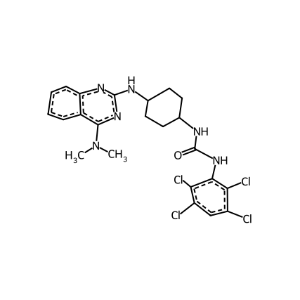 CN(C)c1nc(NC2CCC(NC(=O)Nc3c(Cl)c(Cl)cc(Cl)c3Cl)CC2)nc2ccccc12